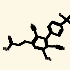 N#Cc1c(N)nc(SCC(N)=O)c(C#N)c1-c1ccc(C(F)(F)F)cc1